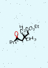 CCOC(=O)CC(C)(C)CC(=O)C(C)C